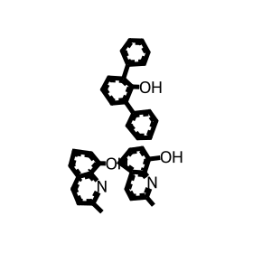 Cc1ccc2cccc(O)c2n1.Cc1ccc2cccc(O)c2n1.Oc1c(-c2ccccc2)cccc1-c1ccccc1